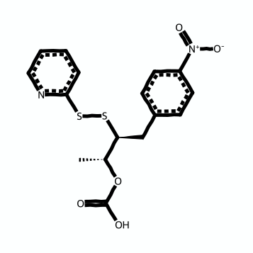 C[C@@H](OC(=O)O)[C@H](Cc1ccc([N+](=O)[O-])cc1)SSc1ccccn1